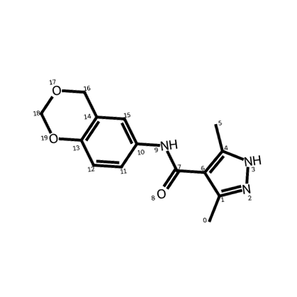 Cc1n[nH]c(C)c1C(=O)Nc1ccc2c(c1)COCO2